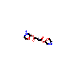 O=C(/C=C/C(=O)OC1CNCCO1)OC1CNCCO1